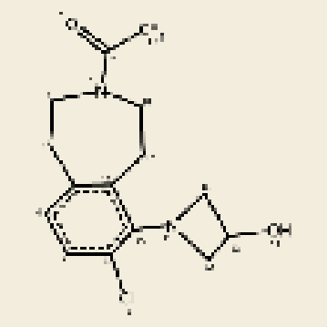 O=C(N1CCc2ccc(Cl)c(N3CC(O)C3)c2CC1)C(F)(F)F